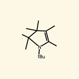 CC1=C(C)C(C)(C)C(C)(C)N1C(C)(C)C